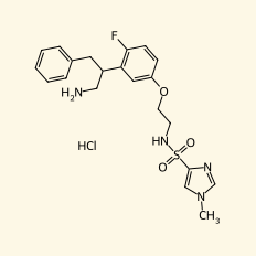 Cl.Cn1cnc(S(=O)(=O)NCCOc2ccc(F)c(C(CN)Cc3ccccc3)c2)c1